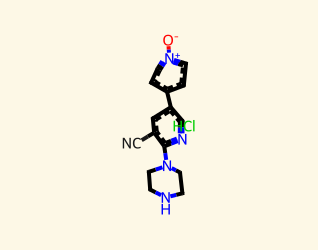 Cl.N#Cc1cc(-c2cc[n+]([O-])cc2)cnc1N1CCNCC1